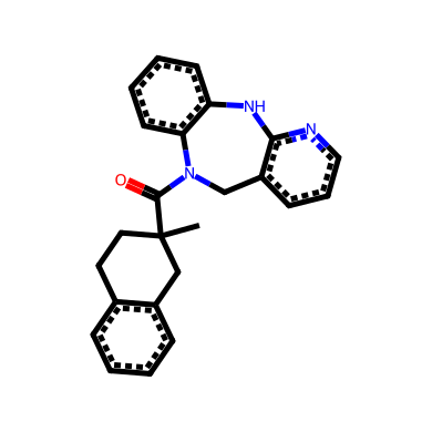 CC1(C(=O)N2Cc3cccnc3Nc3ccccc32)CCc2ccccc2C1